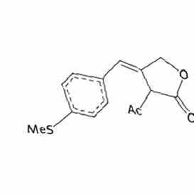 CSc1ccc(C=C2COC(=O)C2C(C)=O)cc1